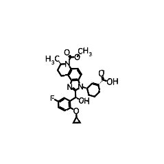 COC(=O)N1c2ccc3c(nc([C@@H](O)c4cc(F)ccc4OC4CC4)n3[C@@H]3CCC[C@@H](C(=O)O)C3)c2CC[C@@H]1C